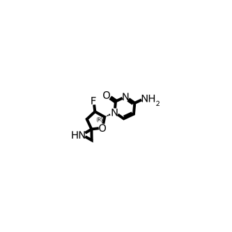 Nc1ccn([C@@H]2OC3(CN3)CC2F)c(=O)n1